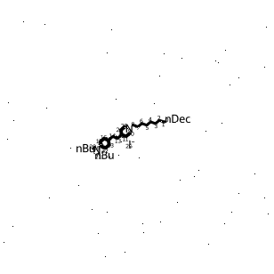 CCCCCCCCCCCCCCCCCC[n+]1ccc(/C=C/c2ccc(N(CCCC)CCCC)cc2)cc1.[I-]